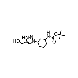 CC(C)(C)OC(=O)NC1CCCC(N2C=C(CO)NN2)C1